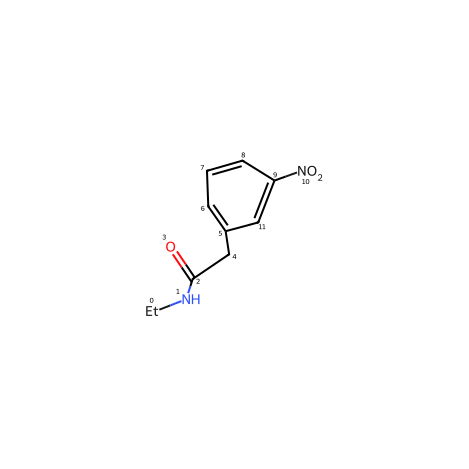 CCNC(=O)Cc1cccc([N+](=O)[O-])c1